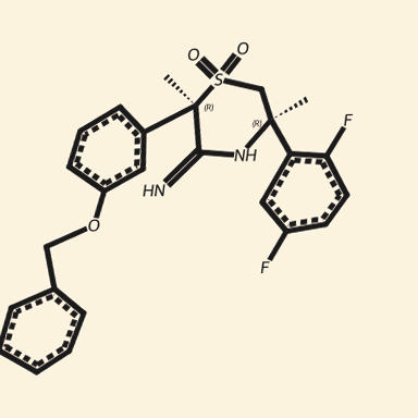 C[C@@]1(c2cccc(OCc3ccccc3)c2)C(=N)N[C@](C)(c2cc(F)ccc2F)CS1(=O)=O